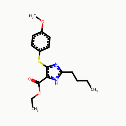 CCCCc1nc(Sc2ccc(OC)cc2)c(C(=O)OCC)[nH]1